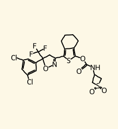 O=C(NC1CS(=O)(=O)C1)Oc1sc(C2=NOC(c3cc(Cl)cc(Cl)c3)(C(F)(F)F)C2)c2c1CCCC2